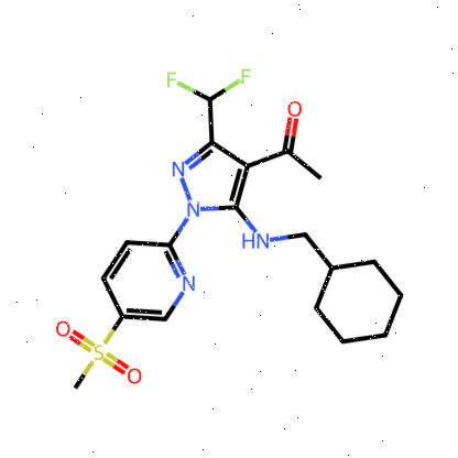 CC(=O)c1c(C(F)F)nn(-c2ccc(S(C)(=O)=O)cn2)c1NCC1CCCCC1